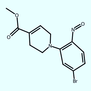 COC(=O)C1=CCN(c2cc(Br)ccc2N=O)CC1